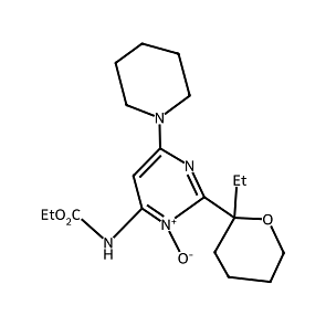 CCOC(=O)Nc1cc(N2CCCCC2)nc(C2(CC)CCCCO2)[n+]1[O-]